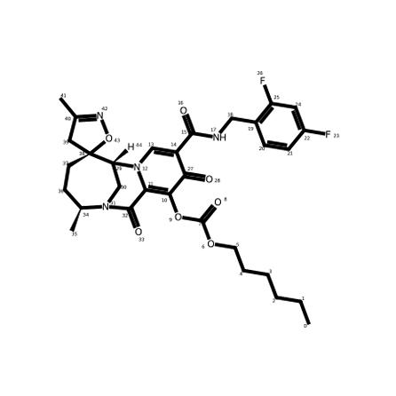 CCCCCCOC(=O)Oc1c2n(cc(C(=O)NCc3ccc(F)cc3F)c1=O)[C@@H]1CN(C2=O)[C@@H](C)CC[C@]12CC(C)=NO2